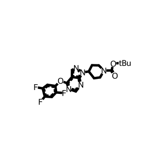 CC(C)(C)OC(=O)N1CCC(n2ncc3c(Oc4cc(F)c(F)cc4F)ncnc32)CC1